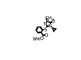 COC(=O)c1ccccc1Sc1nn(C)c(=O)n1C1CC1